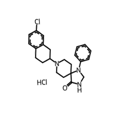 Cl.O=C1NCN(c2ccccc2)C12CCN(C1CCc3ccc(Cl)cc3C1)CC2